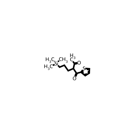 CC(=O)C(CCC[Si](C)(C)C)C(=O)c1cccs1